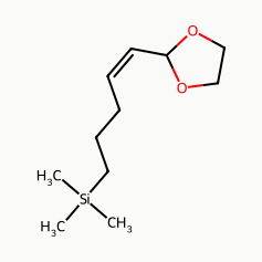 C[Si](C)(C)CCC/C=C\C1OCCO1